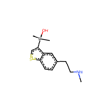 CNCCc1ccc2scc([Si](C)(C)O)c2c1